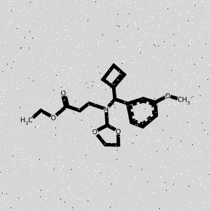 CCOC(=O)CCN(C1OCCO1)C(C1=CCC1)c1cccc(OC)c1